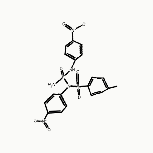 Cc1ccc(S(=O)(=O)N(c2ccc([N+](=O)[O-])cc2)P(N)(=O)Nc2ccc([N+](=O)[O-])cc2)cc1